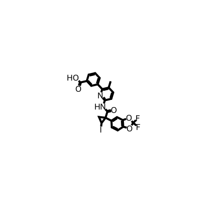 Cc1ccc(NC(=O)C2(c3ccc4c(c3)OC(F)(F)O4)CC2I)nc1-c1cccc(C(=O)O)c1